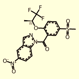 C[C@H](Oc1ccc(S(C)(=O)=O)cc1C(=O)n1ncc2cc([N+](=O)[O-])ccc21)C(F)(F)F